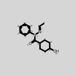 C/C=N/N(C(=O)C1CCC(O)CC1)c1ccccc1